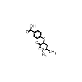 CC(C)CC(Sc1ccc(C(=O)O)cc1)C(=O)O